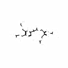 CCSCc1nc(C(C)(C)C(C)SCc2nn(C(C)C)nc2CSC(C)C)cnc1CSC(C)C